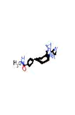 CNC(=O)[C@H]1CC=C([C@@H]2CCC3=C(CNC(C4=CCCN=C4)N3)C2)CC1